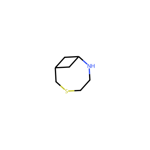 C1CSCC2CC(C2)N1